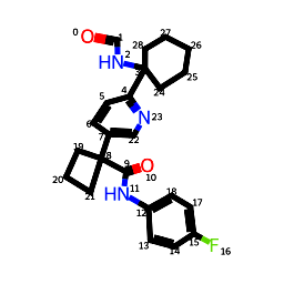 O=CNC1(c2ccc(C3(C(=O)Nc4ccc(F)cc4)CCC3)cn2)CCCCC1